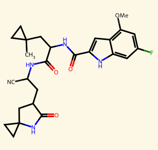 COc1cc(F)cc2[nH]c(C(=O)NC(CC3(C)CC3)C(=O)NC(C#N)CC3CC4(CC4)NC3=O)cc12